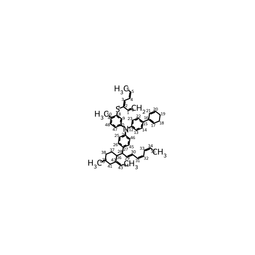 C=C/C(=C\C=C/C)Sc1cc(N(c2ccc(C3=CCCC=C3)cc2)c2ccc(C(/C=C/C=C\C=C/C)C3CCC(C)C/C3=C/C)cc2)ccc1C